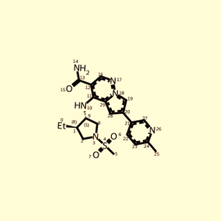 CC[C@@H]1CN(S(C)(=O)=O)C[C@H]1Nc1c(C(N)=O)cnn2cc(-c3ccc(C)nc3)cc12